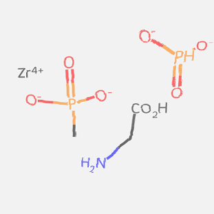 CP(=O)([O-])[O-].NCC(=O)O.O=[PH]([O-])[O-].[Zr+4]